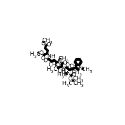 COC(=O)CCC(NC(=O)/C(C)=C/CN(C)C(=O)C(NC(=O)C(N(C)C(=O)OC(C)(C)C)C(C)(C)c1cn(C)c2ccccc12)C(C)(C)C)C(=O)OC